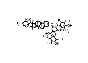 CC1O[C@@H](OC2[C@H](O[C@H]3CC[C@@]4(C)C(=CC[C@H]5[C@@H]6C[C@@H]7O[C@]8(CC[C@@H](C)CO8)[C@@H](C)[C@@H]7[C@@]6(C)CC[C@@H]54)C3)OC(CO)[C@@H](O[C@@H]3OC(CO)[C@@H](O)[C@H](O)C3O)[C@@H]2O)C(O)[C@@H](O)[C@H]1O